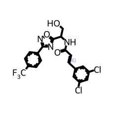 O=C(/C=C/c1cc(Cl)cc(Cl)c1)NC(CO)c1nc(-c2ccc(C(F)(F)F)cc2)no1